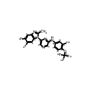 Cc1nc2cc(F)c(F)cc2n1-c1cncc(Nc2ccc(OC(F)(F)F)c(F)c2)n1